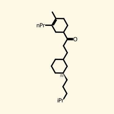 CCCC1=C(C)CCC(C(=O)CCC2CCC[C@H](CCCC(C)C)C2)C1